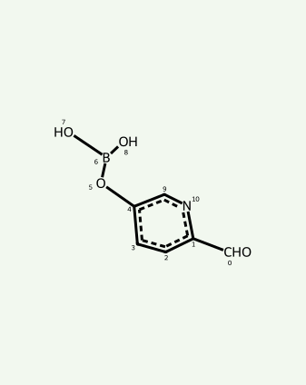 O=Cc1ccc(OB(O)O)cn1